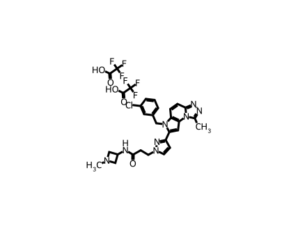 Cc1nnc2ccc3c(cc(-c4ccn(CCC(=O)NC5CN(C)C5)n4)n3Cc3cccc(Cl)c3)n12.O=C(O)C(F)(F)F.O=C(O)C(F)(F)F